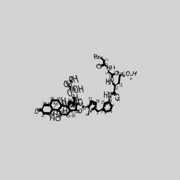 Cn1c(Cc2cccc(NC(=O)[C@H](CCC(=O)O)NC(=O)CNC(=O)CBr)c2)ccc1[C@@H]1O[C@@H]2C[C@H]3[C@@H]4CCC5=CC(=O)C=C[C@]5(C)[C@H]4[C@@H](O)C[C@]3(C)[C@]2(C(=O)COP(=O)(O)O)O1